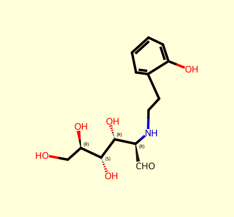 O=C[C@H](NCCc1ccccc1O)[C@@H](O)[C@H](O)[C@H](O)CO